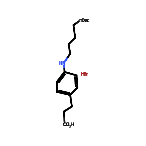 Br.CCCCCCCCCCCCCCNc1ccc(CCC(=O)O)cc1